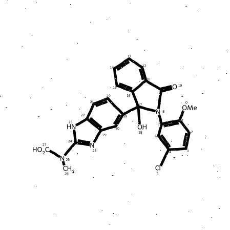 COc1ccc(Cl)cc1N1C(=O)c2ccccc2C1(O)c1ccc2[nH]c(N(C)C(=O)O)nc2c1